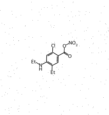 CCNc1cc(Cl)c(C(=O)O[N+](=O)[O-])cc1CC